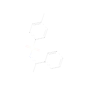 CC(=NS(=O)(=O)c1ccc(C)cc1)c1ccccc1